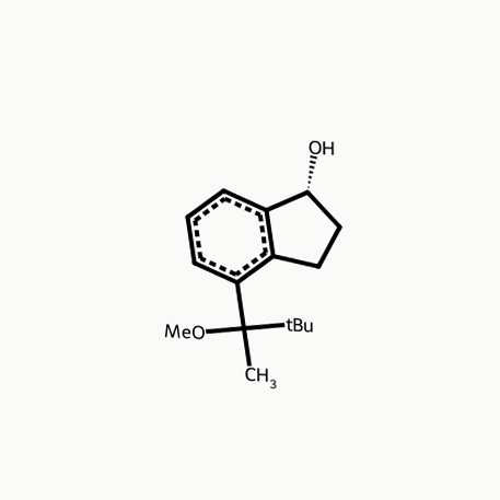 COC(C)(c1cccc2c1CC[C@H]2O)C(C)(C)C